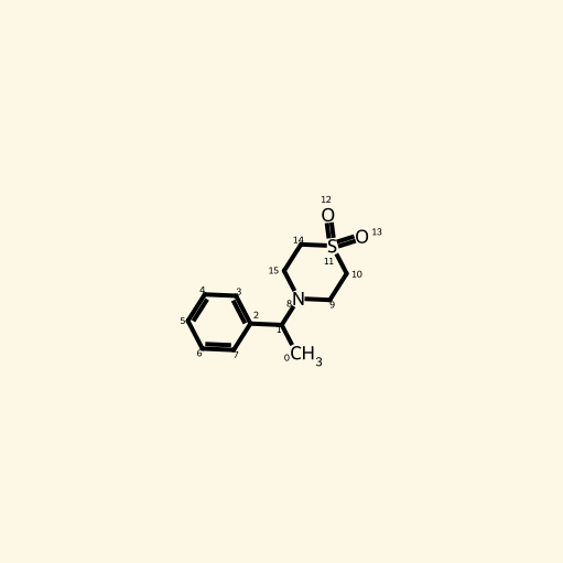 CC(c1ccccc1)N1CCS(=O)(=O)CC1